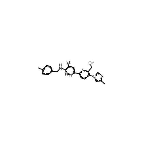 CCc1cc(-c2ccc(-n3cnc(C)c3)c(CO)n2)nnc1NCc1ccc(C)cc1